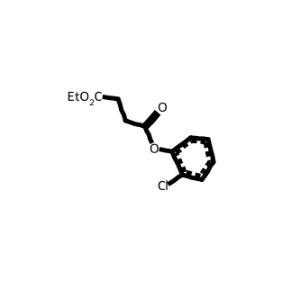 CCOC(=O)CCC(=O)Oc1ccccc1Cl